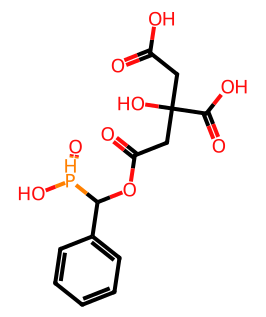 O=C(O)CC(O)(CC(=O)OC(c1ccccc1)[PH](=O)O)C(=O)O